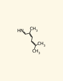 CC(C)=CC=C(C)C=N